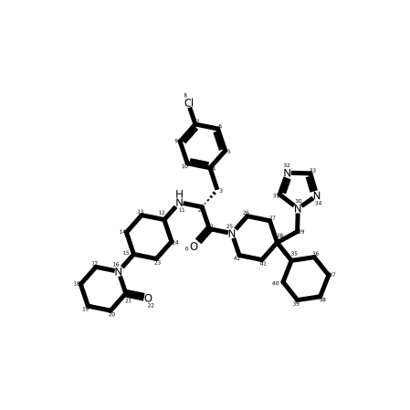 O=C([C@@H](Cc1ccc(Cl)cc1)NC1CCC(N2CCCCC2=O)CC1)N1CCC(Cn2cncn2)(C2CCCCC2)CC1